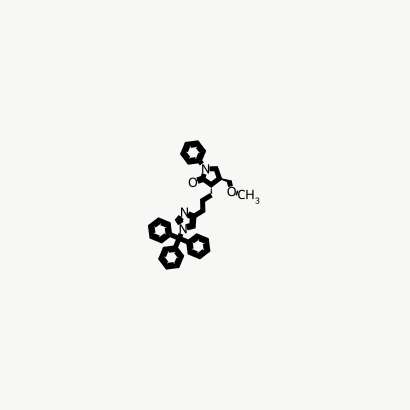 COC[C@@H]1CN(c2ccccc2)C(=O)[C@H]1CCCc1cn(C(c2ccccc2)(c2ccccc2)c2ccccc2)cn1